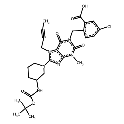 CC#CCn1c(N2CCCC(NC(=O)OC(C)(C)C)C2)nc2c1c(=O)n(Cc1ccc(Cl)cc1C(=O)O)c(=O)n2C